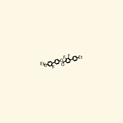 CCOc1ccc(-c2ccc(OC(=O)c3ccc(-c4ccc(CC)cc4)c(F)c3F)cc2)c(F)c1